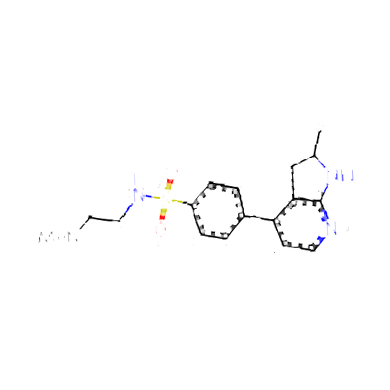 CNCCNS(=O)(=O)c1ccc(-c2ccnc3c2CC(C)N3)cc1